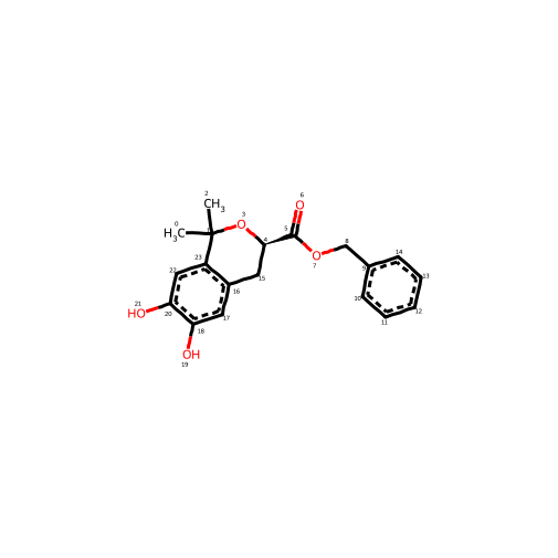 CC1(C)O[C@@H](C(=O)OCc2ccccc2)Cc2cc(O)c(O)cc21